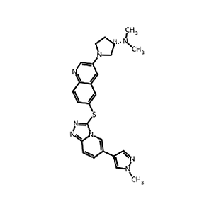 CN(C)[C@H]1CCN(c2cnc3ccc(Sc4nnc5ccc(-c6cnn(C)c6)cn45)cc3c2)C1